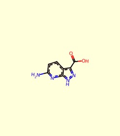 Nc1ccc2c(C(=O)O)n[nH]c2n1